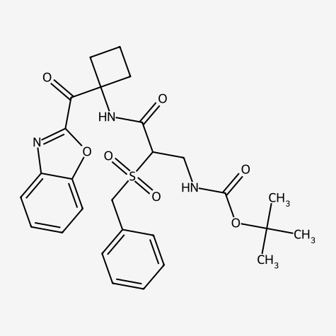 CC(C)(C)OC(=O)NCC(C(=O)NC1(C(=O)c2nc3ccccc3o2)CCC1)S(=O)(=O)Cc1ccccc1